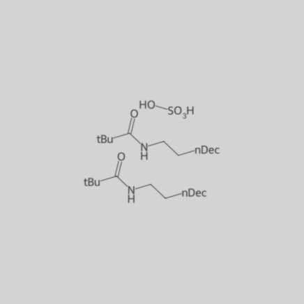 CCCCCCCCCCCCNC(=O)C(C)(C)C.CCCCCCCCCCCCNC(=O)C(C)(C)C.O=S(=O)(O)O